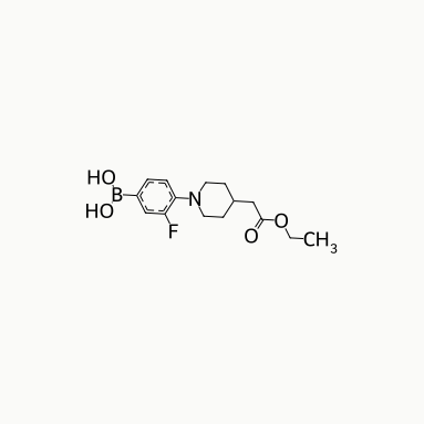 CCOC(=O)CC1CCN(c2ccc(B(O)O)cc2F)CC1